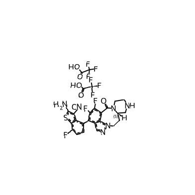 N#Cc1c(N)sc2c(F)ccc(-c3c(F)c(F)c4c5c3cnn5CC[C@H]3CNCCN3C4=O)c12.O=C(O)C(F)(F)F.O=C(O)C(F)(F)F